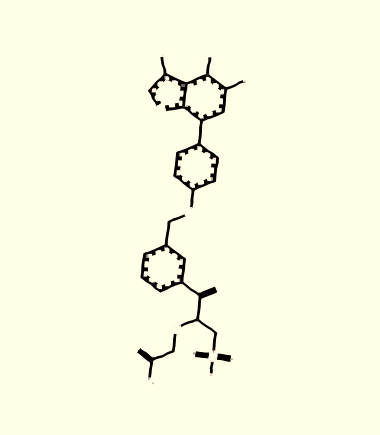 Cc1coc2c(-c3ccc(OCc4cccc(C(=O)C(CS(C)(=O)=O)NCC(=O)O)c4)cc3)cc(F)c(F)c12